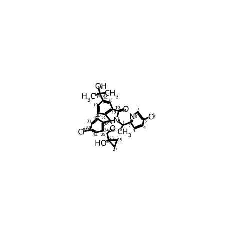 CC(c1ccc(Cl)cn1)N1C(=O)c2cc(C(C)(C)O)ccc2[C@]1(OCC1(O)CC1)c1ccc(Cl)cc1